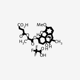 COc1ccc2c3c1O[C@H]1C(OC(=O)[C@H](C)OC(=O)CCC(=O)O)=CC[C@@]4(O)[C@@H](C2)N(C)CC[C@]314.O=C(O)C(F)(F)F